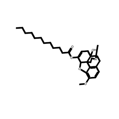 CCCCCCCCCCCC(=O)OC1=CCC2(O)C3Cc4ccc(OC)c5c4C2(CCN3C)C1O5